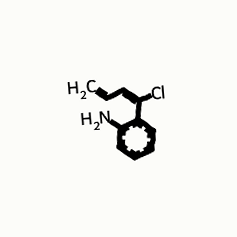 C=C/C=C(/Cl)c1ccccc1N